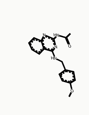 COc1ccc(CNc2nc(NC(C)=O)nc3ccccc23)cc1